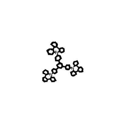 c1ccc2c(c1)-c1ccccc1N(c1ccc(-c3cc(-c4ccc(N5c6ccccc6-c6ccccc6-c6ccccc65)cc4)cc(-c4ccc(N5c6ccccc6-c6ccccc6-c6ccccc65)cc4)c3)cc1)c1ccccc1-2